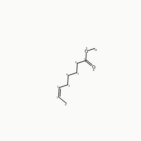 C/C=C\CCCCC(=O)OC